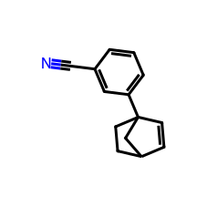 N#Cc1cccc(C23C=CC(CC2)C3)c1